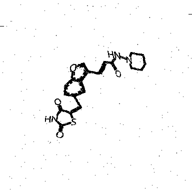 O=C(C=Cc1coc2ccc(C=C3SC(=O)NC3=O)cc12)NN1CCCCC1